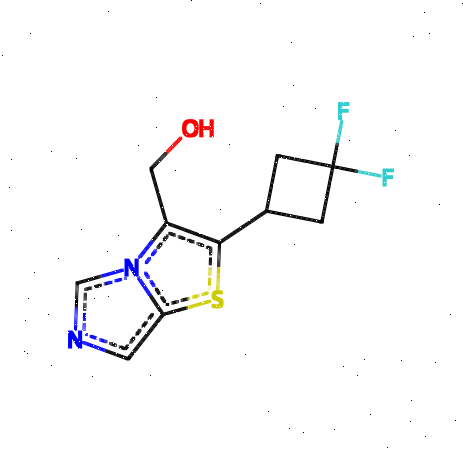 OCc1c(C2CC(F)(F)C2)sc2cncn12